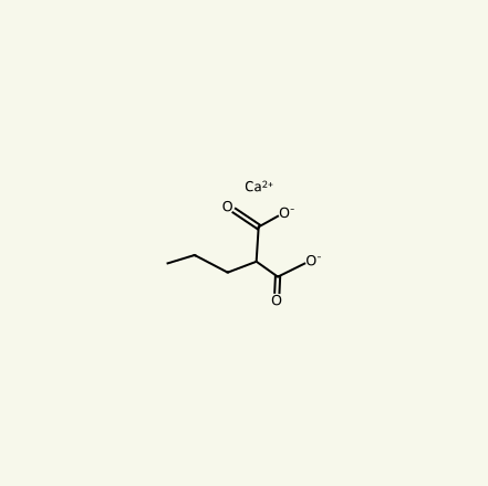 CCCC(C(=O)[O-])C(=O)[O-].[Ca+2]